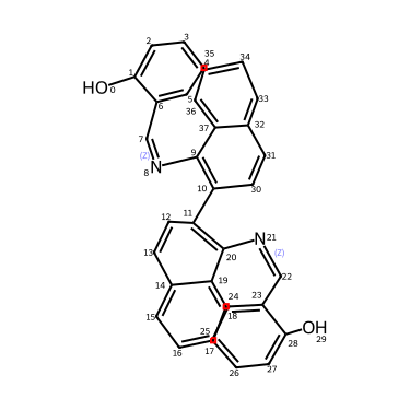 Oc1ccccc1/C=N\c1c(-c2ccc3ccccc3c2/N=C\c2ccccc2O)ccc2ccccc12